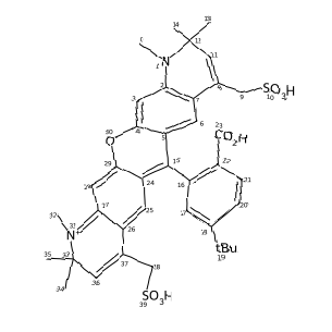 CN1c2cc3c(cc2C(CS(=O)(=O)O)=CC1(C)C)C(c1cc(C(C)(C)C)ccc1C(=O)O)=c1cc2c(cc1O3)=[N+](C)C(C)(C)C=C2CS(=O)(=O)O